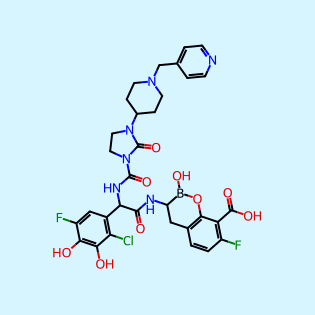 O=C(O)c1c(F)ccc2c1OB(O)C(NC(=O)C(NC(=O)N1CCN(C3CCN(Cc4ccncc4)CC3)C1=O)c1cc(F)c(O)c(O)c1Cl)C2